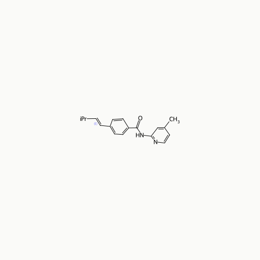 Cc1ccnc(NC(=O)c2ccc(/C=C/C(C)C)cc2)c1